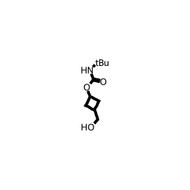 CC(C)(C)NC(=O)OC1CC(CO)C1